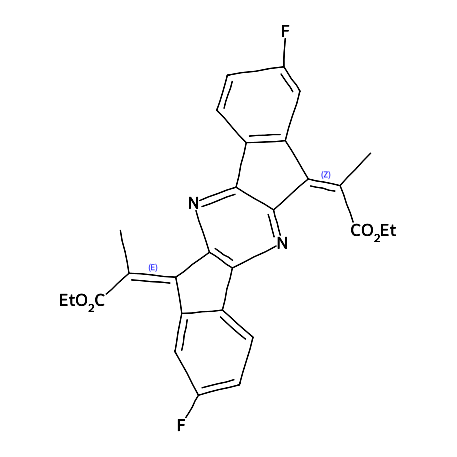 CCOC(=O)/C(C)=C1/c2cc(F)ccc2-c2nc3c(nc21)-c1ccc(F)cc1/C3=C(/C)C(=O)OCC